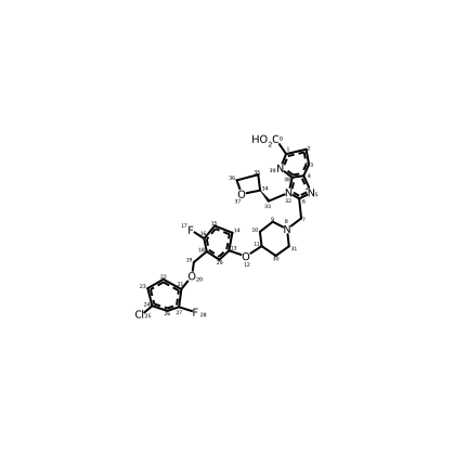 O=C(O)c1ccc2nc(CN3CCC(Oc4ccc(F)c(COc5ccc(Cl)cc5F)c4)CC3)n(C[C@@H]3CCO3)c2n1